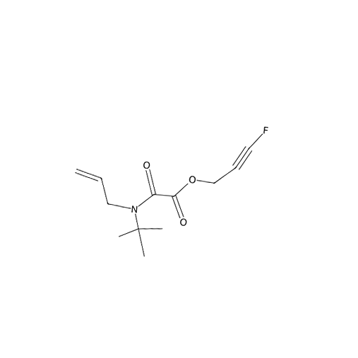 C=CCN(C(=O)C(=O)OCC#CF)C(C)(C)C